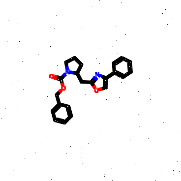 O=C(OCc1ccccc1)N1CCCC1Cc1nc(-c2ccccc2)co1